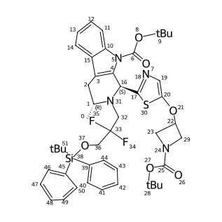 C[C@@H]1Cc2c(n(C(=O)OC(C)(C)C)c3ccccc23)[C@@H](c2ncc(OC3CN(C(=O)OC(C)(C)C)C3)s2)N1CC(F)(F)CO[Si](c1ccccc1)(c1ccccc1)C(C)(C)C